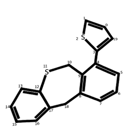 c1csc(-c2cccc3c2CSc2ccccc2C3)c1